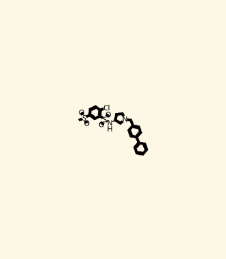 CS(=O)(=O)c1ccc(Cl)c(S(=O)(=O)N[C@@H]2CCN(Cc3ccc(-c4ccccc4)cc3)C2)c1